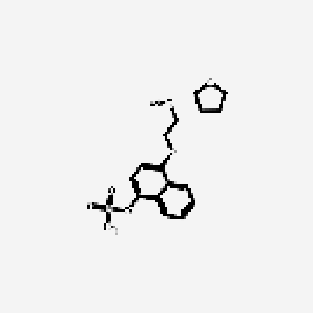 C1CCSC1.COCCOc1ccc(OS(=O)(=O)C(F)(F)F)c2ccccc12